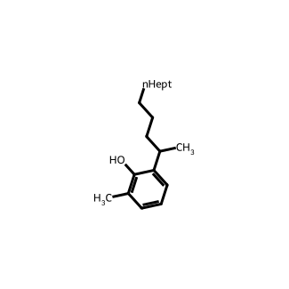 CCCCCCCCCCC(C)c1cccc(C)c1O